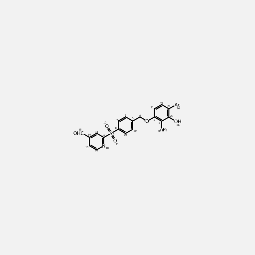 CCCc1c(OCc2ccc(S(=O)(=O)c3cc(C=O)ccn3)cc2)ccc(C(C)=O)c1O